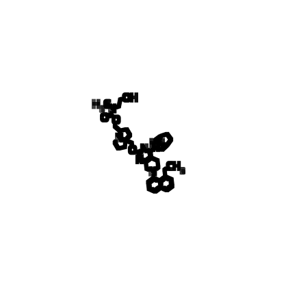 CCc1cccc2cccc(N3CCc4c(nc(OCC56CCCN5C(COC(=O)N(C)CCO)CC6)nc4N4CC5CCC(C4)N5)C3)c12